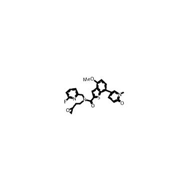 COc1ccc(-c2ccc(=O)n(C)c2)c2sc(C(=O)N(CCC3CO3)Cc3cccc(F)n3)cc12